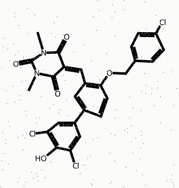 CN1C(=O)C(=Cc2cc(-c3cc(Cl)c(O)c(Cl)c3)ccc2OCc2ccc(Cl)cc2)C(=O)N(C)C1=O